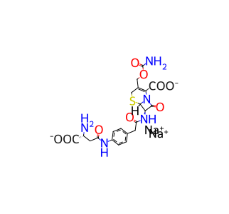 NC(=O)OCC1=C(C(=O)[O-])N2C(=O)[C@@H](NC(=O)Cc3ccc(NC(=O)C[C@@H](N)C(=O)[O-])cc3)[C@@H]2SC1.[Na+].[Na+]